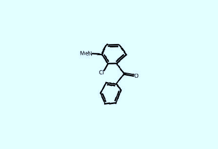 CNc1cccc(C(=O)c2ccccc2)c1Cl